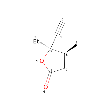 C#C[C@]1(CC)OC(=O)C[C@@H]1C